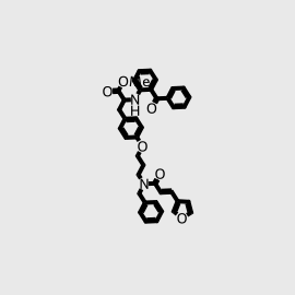 COC(=O)C(Cc1ccc(OCCCN(Cc2ccccc2)C(=O)C=Cc2ccoc2)cc1)Nc1ccccc1C(=O)c1ccccc1